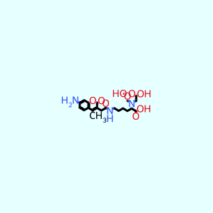 Cc1c(CC(=O)NCCCCC(C(=O)O)N(COO)CC(=O)O)c(=O)oc2cc(N)ccc12